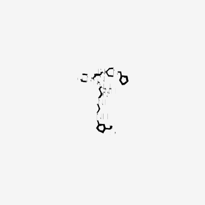 COC(=O)c1cccc(CNCCCN/C=C(/CNc2nc(NC3CCN(Cc4ccccc4)CC3)cc(N3CCOCC3)n2)N=N)c1